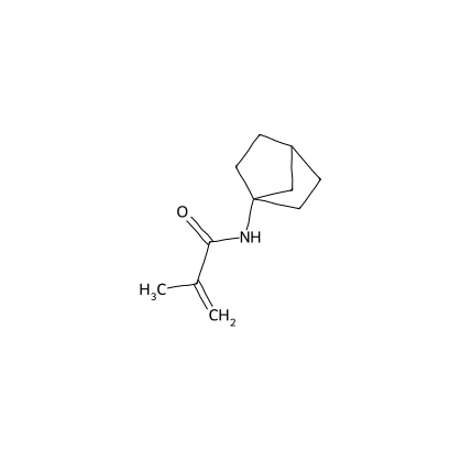 C=C(C)C(=O)NC12CCC(CC1)C2